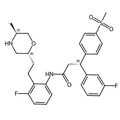 [CH2][C@H]1CO[C@H](CCc2c(F)cccc2NC(=O)C[C@H](c2ccc(S(C)(=O)=O)cc2)c2cccc(F)c2)CN1